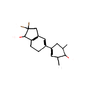 CC1C=C(C2=CC3=C(CC2)C(O)C(Br)(Br)C3)CC(C)C1O